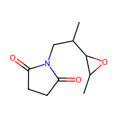 CC(CN1C(=O)CCC1=O)C1OC1C